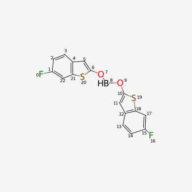 Fc1ccc2cc(OBOc3cc4ccc(F)cc4s3)sc2c1